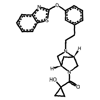 O=C(N1C[C@@H]2C[C@H]1CN2CCc1cccc(Oc2nc3ccccc3s2)c1)C1(O)CC1